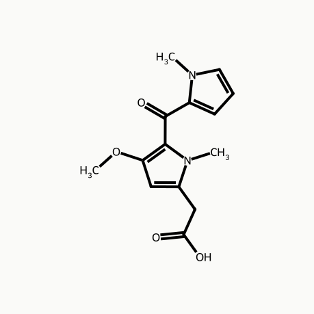 COc1cc(CC(=O)O)n(C)c1C(=O)c1cccn1C